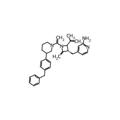 C=C(C)C1[C@@H](Cc2ccnc(N)c2)C(=C)N1C(=C)N1CCCC(c2ccc(Cc3ccccc3)cc2)C1